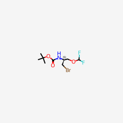 CC(C)(C)OC(=O)N[C@H](CBr)COC(F)F